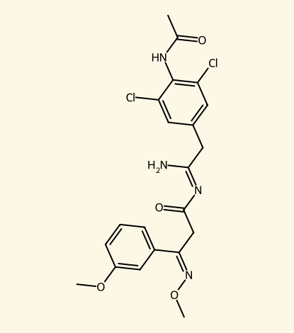 CO/N=C(/CC(=O)/N=C(\N)Cc1cc(Cl)c(NC(C)=O)c(Cl)c1)c1cccc(OC)c1